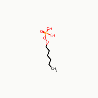 CCCCCCOOP(=O)(O)O